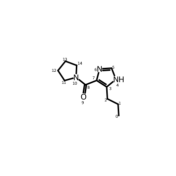 CCCc1[nH]cnc1C(=O)N1CCCC1